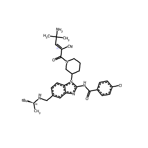 C[C@H](NCc1ccc2c(c1)nc(NC(=O)c1ccc(Cl)cc1)n2C1CCCN(C(=O)/C(C#N)=C/C(C)(C)N)C1)C(C)(C)C